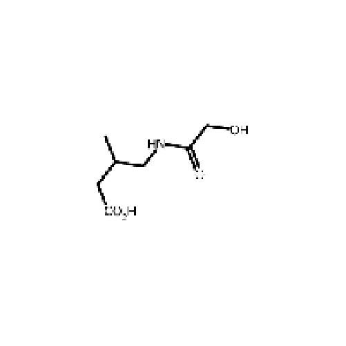 CC(CNC(=O)CO)CC(=O)O